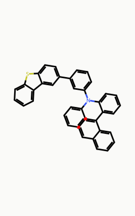 c1ccc(N(c2cccc(-c3ccc4sc5ccccc5c4c3)c2)c2ccccc2-c2cccc3ccccc23)cc1